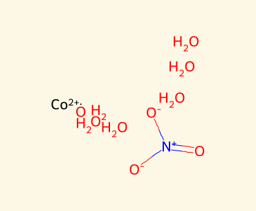 O.O.O.O.O.O.O=[N+]([O-])[O-].[Co+2]